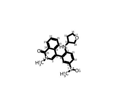 Cn1cc(-c2cc([S+](C)[O-])ccc2NC2CCOC2)c2ccccc2c1=O